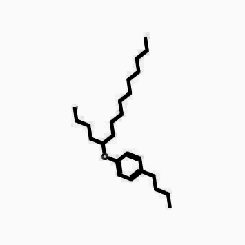 [CH2]CCCC(CCCCCCCCCC)Oc1ccc(CCCC)cc1